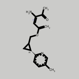 C=C(/C=C(/N)C(C)=O)OCC1C[C@H]1c1ccc(C)cn1